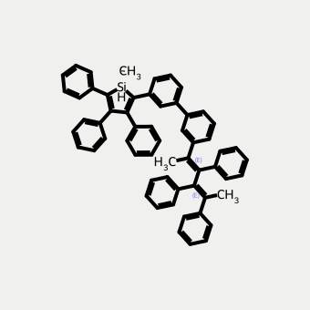 C/C(=C(\C(=C(/C)c1cccc(-c2cccc(C3=C(c4ccccc4)C(c4ccccc4)=C(c4ccccc4)[SiH]3C)c2)c1)c1ccccc1)c1ccccc1)c1ccccc1